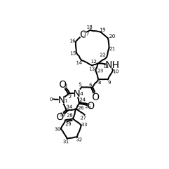 CN1C(=O)N(CC(=O)C2CCNC3(CCCCCCCCCC3)C2)C(=O)C(C)(C2=CCCCC2)C1=O